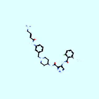 COc1cccc(F)c1C(=O)Nc1c[nH]nc1C(=O)NC1CCN(Cc2cccc(NC(=O)/C=C/CN(C)C)c2)CC1